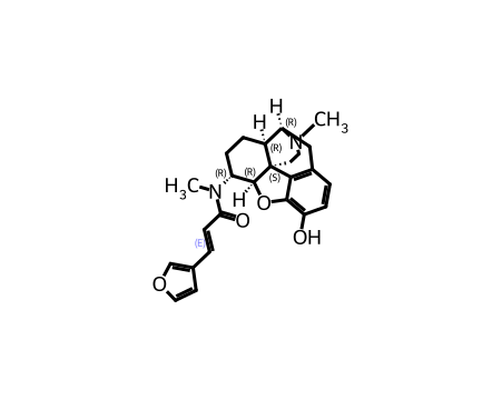 CN1CC[C@]23c4c5ccc(O)c4O[C@H]2[C@H](N(C)C(=O)/C=C/c2ccoc2)CC[C@H]3[C@H]1C5